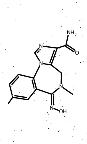 Cc1ccc2c(c1)C(=NO)N(C)Cc1c(C(N)=O)ncn1-2